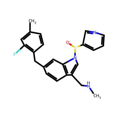 CNCc1cn([S+]([O-])c2cccnc2)c2cc(Cc3ccc(C)cc3F)ccc12